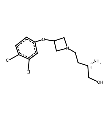 N[C@H](CO)CCN1CC(Oc2ccc(Cl)c(Cl)c2)C1